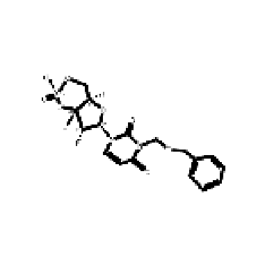 O=c1ccn([C@@H]2O[C@@H]3CO[P@](=O)(Cl)O[C@H]3[C@H]2F)c(=O)n1COCc1ccccc1